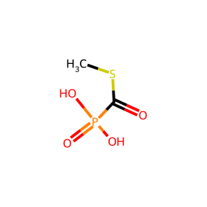 CSC(=O)P(=O)(O)O